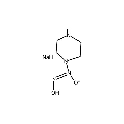 [NaH].[O-][N+](=NO)N1CCNCC1